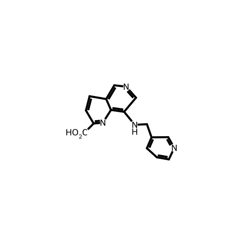 O=C(O)c1ccc2cncc(NCc3cccnc3)c2n1